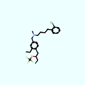 CCc1cc(CN(C)CCCCc2ccccc2Cl)ccc1CC(CC)OC(F)(F)F